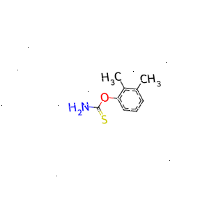 Cc1cccc(OC(N)=S)c1C